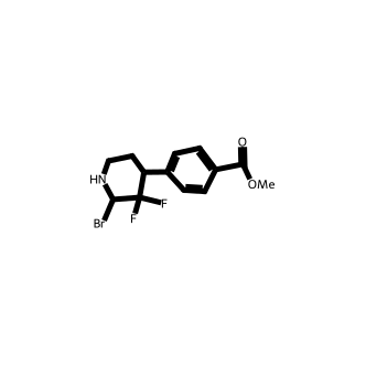 COC(=O)c1ccc(C2CCNC(Br)C2(F)F)cc1